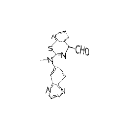 CN(C1=NC(C=O)c2cccnc2S1)c1ccc2nccnc2c1